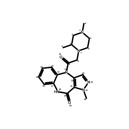 CC1CN(C)CCN1CC(=O)N1c2ccccc2NC(=O)c2c1cnn2C